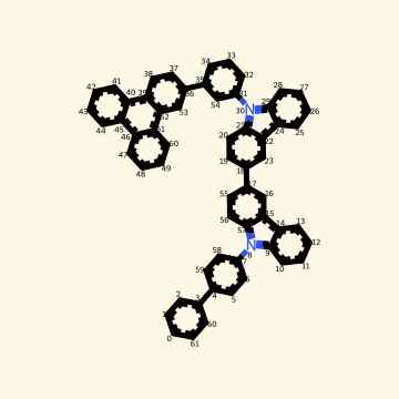 c1ccc(-c2ccc(-n3c4ccccc4c4cc(-c5ccc6c(c5)c5ccccc5n6-c5cccc(-c6ccc7c8ccccc8c8ccccc8c7c6)c5)ccc43)cc2)cc1